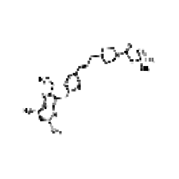 CCc1nn2c(C)cc(C)nc2c1Cc1ccc(/C=C/CN2CCN(C(=O)OC(C)(C)C)CC2)cc1